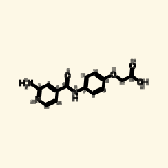 Nc1cc(C(=O)Nc2ccc(OCC(=O)O)cc2)ccn1